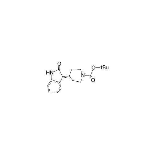 CC(C)(C)OC(=O)N1CCC(=C2C(=O)Nc3ccccc32)CC1